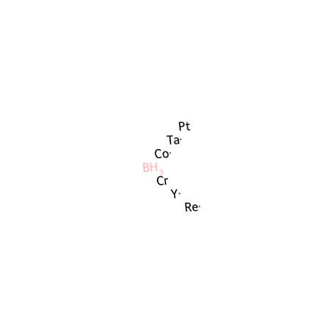 B.[Co].[Cr].[Pt].[Re].[Ta].[Y]